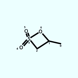 CC1CS(=O)(=O)O1